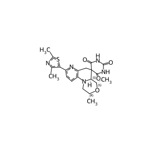 Cc1nc(C)c(-c2ccc3c(n2)CC2(C(=O)NC(=O)NC2=O)[C@H]2[C@H](C)O[C@H](C)CN32)s1